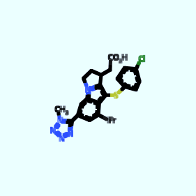 CC(C)c1cc(-c2nnnn2C)cc2c1c(Sc1ccc(Cl)cc1)c1n2CCC1CC(=O)O